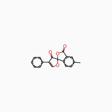 Cc1ccc2c(c1)C(=O)OC21OC=C(c2ccccc2)C1=O